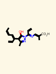 C=C/C(=C\C=C/C)c1c(C)nn(/C(C=C)=N/C=C(\C)C(=O)O)c1O